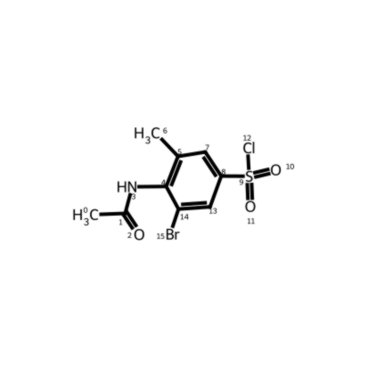 CC(=O)Nc1c(C)cc(S(=O)(=O)Cl)cc1Br